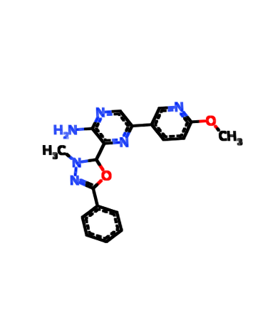 COc1ccc(-c2cnc(N)c(C3OC(c4ccccc4)=NN3C)n2)cn1